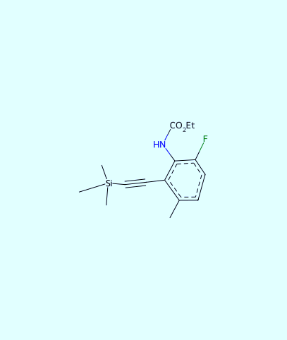 CCOC(=O)Nc1c(F)ccc(C)c1C#C[Si](C)(C)C